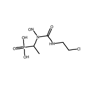 CC(N(N=O)C(=O)NCCCl)P(=O)(O)O